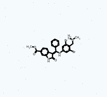 COC(=O)c1ccc2c(c1)NC(=O)/C2=C(\Nc1cc(Br)c(CN(C)C)c(Br)c1)c1ccccc1